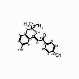 CC1(C)Cc2ccc(Br)cc2C(=CC(=O)c2ccc(C#N)cc2)N1